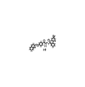 I.O=C(NCCN(C(=O)c1cncc(Br)c1)c1ccccc1)c1ccc(OCc2ccc3ccccc3n2)cc1